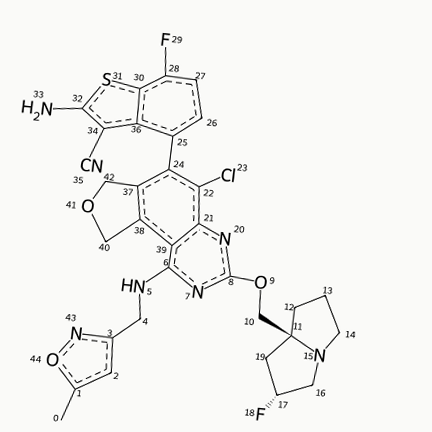 Cc1cc(CNc2nc(OC[C@@]34CCCN3C[C@H](F)C4)nc3c(Cl)c(-c4ccc(F)c5sc(N)c(C#N)c45)c4c(c23)COC4)no1